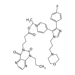 CCCn1c(=O)n(CCCC(=O)OC(C)[n+]2ccc(-c3c(-c4ccc(F)cc4)ncn3CCCN3CCOCC3)cc2)c(=O)c2nccnc21